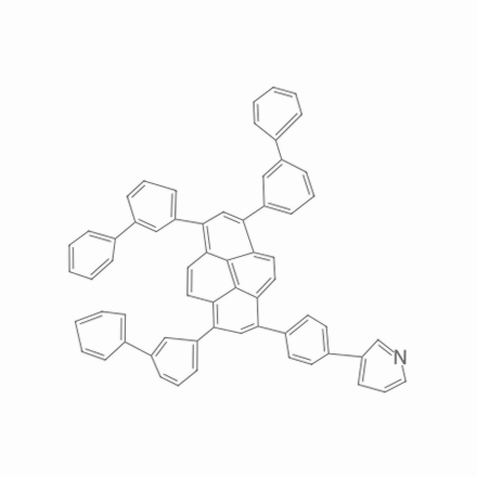 c1ccc(-c2cccc(-c3cc(-c4ccc(-c5cccnc5)cc4)c4ccc5c(-c6cccc(-c7ccccc7)c6)cc(-c6cccc(-c7ccccc7)c6)c6ccc3c4c56)c2)cc1